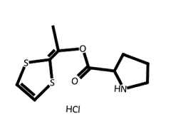 CC(OC(=O)C1CCCN1)=C1SC=CS1.Cl